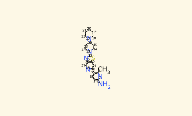 Cc1nc(N)ccc1-c1cc2sc(N3CCC(N4CCCCC4)CC3)nc2cn1